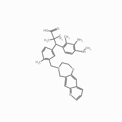 CNc1ccc(C(c2ccc(C)c(CN3CCOc4cc5cccnc5cc4C3)c2)C(C)(C)C(=O)O)c(C)c1N